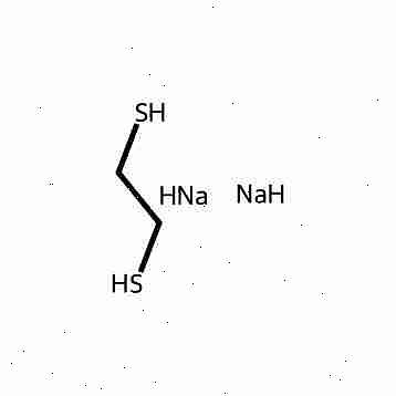 SCCS.[NaH].[NaH]